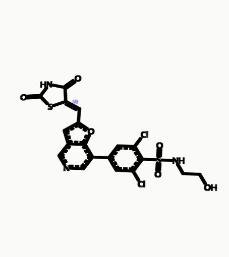 O=C1NC(=O)/C(=C/c2cc3cncc(-c4cc(Cl)c(S(=O)(=O)NCCO)c(Cl)c4)c3o2)S1